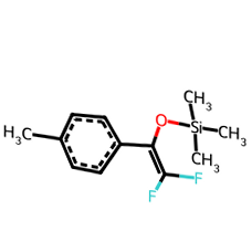 Cc1ccc(C(O[Si](C)(C)C)=C(F)F)cc1